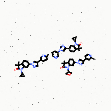 CC1(C)C(=O)N(C2CC2)c2cc(-c3cn(-c4cccnc4)cn3)ccc21.Cc1cc(-c2cnn(-c3ccc4c(c3)N(C3COC3)C(=O)C4(C)C)c2)ccn1.Cc1ccc(-c2cnn(-c3ccc4c(c3)N(C3CC3)C(=O)C4(C)C)c2)cn1